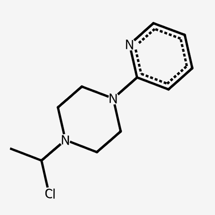 CC(Cl)N1CCN(c2ccccn2)CC1